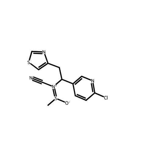 CS([O-])=[N+](C#N)C(Cc1cscn1)c1ccc(Cl)nc1